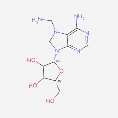 NCN1CN([C@@H]2O[C@H](CO)C(O)C2O)c2ncnc(N)c21